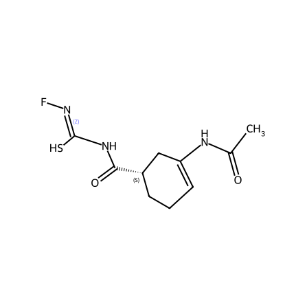 CC(=O)NC1=CCC[C@H](C(=O)N/C(S)=N/F)C1